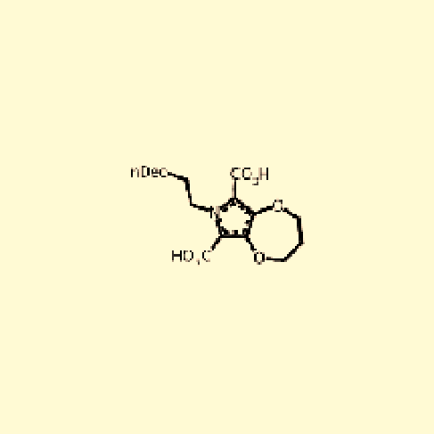 CCCCCCCCCCCCn1c(C(=O)O)c2c(c1C(=O)O)OCCCO2